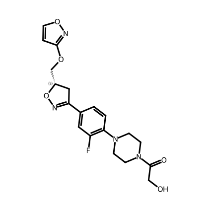 O=C(CO)N1CCN(c2ccc(C3=NO[C@H](COc4ccon4)C3)cc2F)CC1